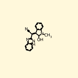 CN1c2ccccc2/C(=C(\C#N)c2nc3ccccc3[nH]2)C1O